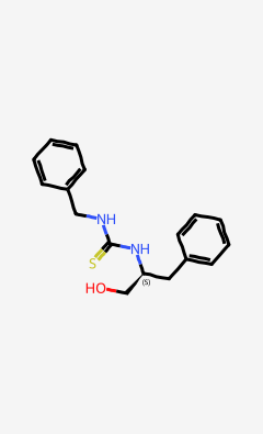 OC[C@H](Cc1ccccc1)NC(=S)NCc1ccccc1